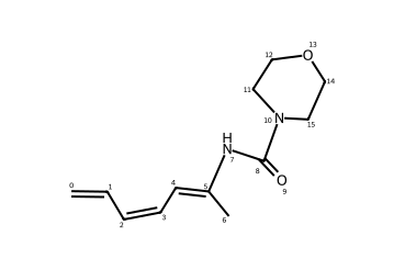 C=C/C=C\C=C(/C)NC(=O)N1CCOCC1